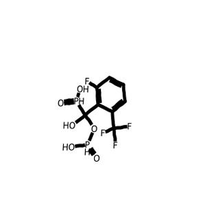 O=[PH](O)OC(O)(c1c(F)cccc1C(F)(F)F)[PH](=O)O